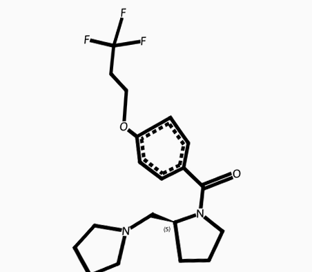 O=C(c1ccc(OCCC(F)(F)F)cc1)N1CCC[C@H]1CN1CCCC1